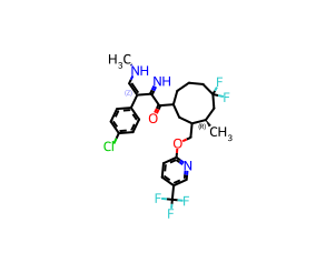 CN/C=C(\C(=N)C(=O)C1CCCC(F)(F)C[C@@H](C)C(COc2ccc(C(F)(F)F)cn2)C1)c1ccc(Cl)cc1